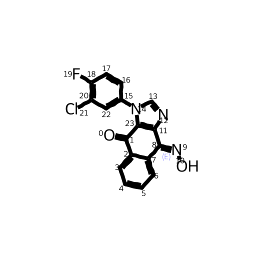 O=C1c2ccccc2/C(=N\O)c2ncn(-c3ccc(F)c(Cl)c3)c21